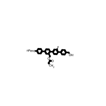 C=CC(=O)OCc1cc(-c2ccc(CCCCC)cc2)ccc1-c1ccc(-c2ccc(CO)cc2)c(F)c1